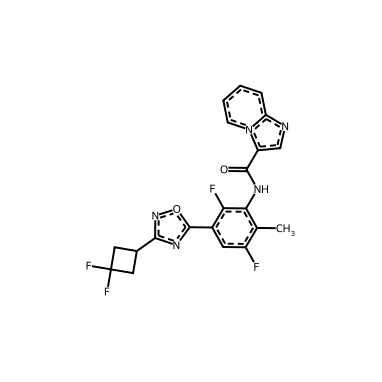 Cc1c(F)cc(-c2nc(C3CC(F)(F)C3)no2)c(F)c1NC(=O)c1cnc2ccccn12